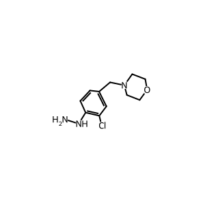 NNc1ccc(CN2CCOCC2)cc1Cl